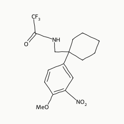 COc1ccc(C2(CNC(=O)C(F)(F)F)CCCCC2)cc1[N+](=O)[O-]